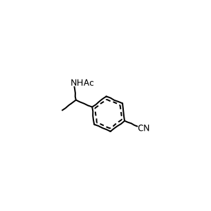 CC(=O)NC(C)c1ccc(C#N)cc1